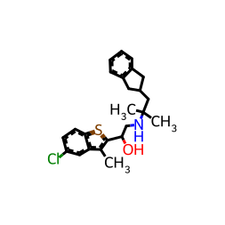 Cc1c(C(O)CNC(C)(C)CC2Cc3ccccc3C2)sc2ccc(Cl)cc12